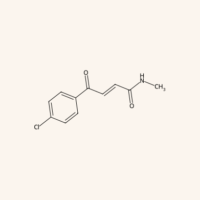 CNC(=O)C=CC(=O)c1ccc(Cl)cc1